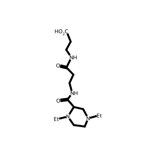 CCN1CCN(CC)C(C(=O)NCCC(=O)NCCC(=O)O)C1